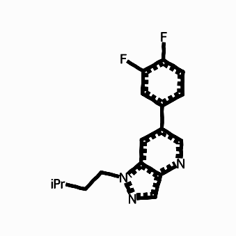 CC(C)CCn1ncc2ncc(-c3ccc(F)c(F)c3)cc21